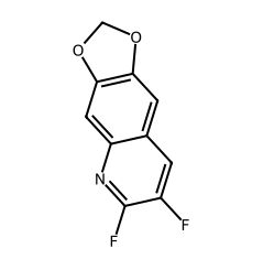 Fc1cc2cc3c(cc2nc1F)OCO3